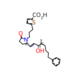 C[C@@H](CCCCc1ccccc1)[C@H](O)/C=C/[C@H]1CCC(=O)N1CCCc1ccc(C(=O)O)s1